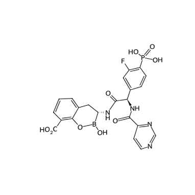 O=C(N[C@@H](C(=O)N[C@H]1Cc2cccc(C(=O)O)c2OB1O)c1ccc(P(=O)(O)O)c(F)c1)c1ccncn1